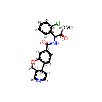 COC(=O)C(NC(=O)c1ccc2c(c1)OCc1cnccc1-2)c1ccccc1Cl